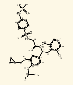 CS(=O)(=O)Nc1ccc(S(=O)(=O)NCC(=O)O[C@@H](Cc2c(Cl)cncc2Cl)c2ccc(OC(F)F)c(OCC3CC3)c2)cc1